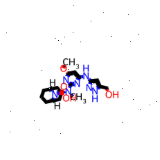 COc1cc(Nc2cc(CO)[nH]n2)nc(N(C)[C@@H]2C[C@H]3CCC[C@@H](C2)N3C(=O)O)n1